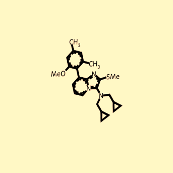 COc1cc(C)cc(C)c1-c1cccn2c(N(CC3CC3)CC3CC3)c(SC)nc12